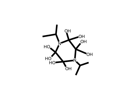 CC(C)N1C(O)(O)C(O)(O)N(C(C)C)C(O)(O)C1(O)O